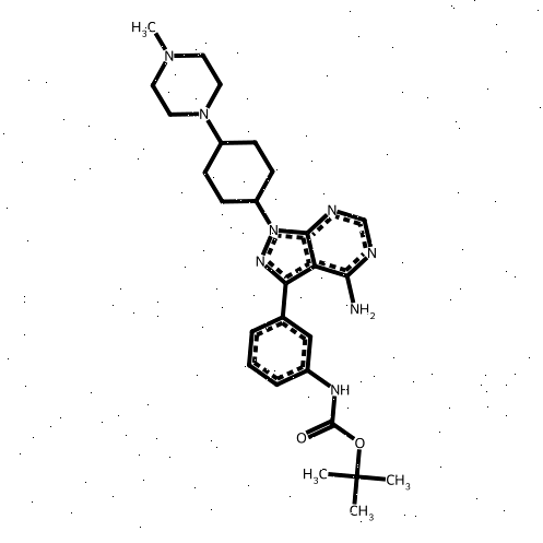 CN1CCN(C2CCC(n3nc(-c4cccc(NC(=O)OC(C)(C)C)c4)c4c(N)ncnc43)CC2)CC1